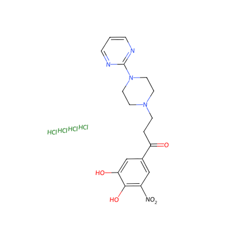 Cl.Cl.Cl.Cl.O=C(CCN1CCN(c2ncccn2)CC1)c1cc(O)c(O)c([N+](=O)[O-])c1